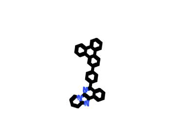 c1ccc2c(c1)c(-c1ccc(-c3ccc4c5ccccc5c5ccccc5c4c3)cc1)nc1c2nc2ccccn21